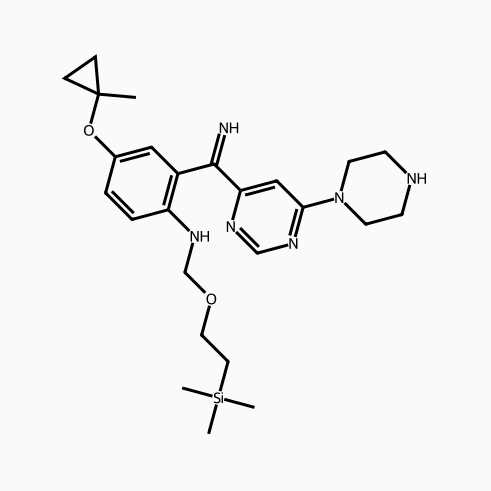 CC1(Oc2ccc(NCOCC[Si](C)(C)C)c(C(=N)c3cc(N4CCNCC4)ncn3)c2)CC1